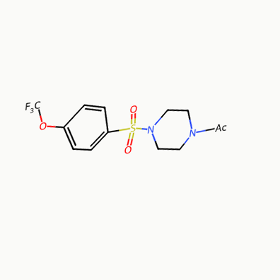 CC(=O)N1CCN(S(=O)(=O)c2ccc(OC(F)(F)F)cc2)CC1